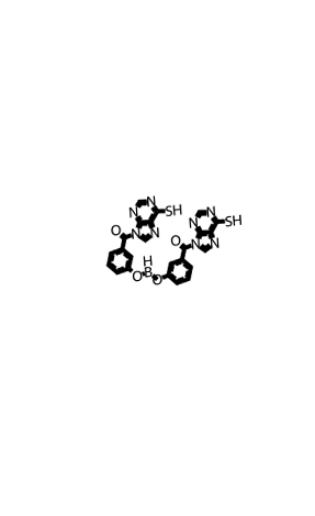 O=C(c1cccc(OBOc2cccc(C(=O)n3cnc4c(S)ncnc43)c2)c1)n1cnc2c(S)ncnc21